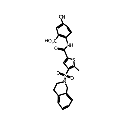 Cc1sc(C(=O)Nc2ccc(C#N)cc2C(=O)O)cc1S(=O)(=O)N1CCc2ccccc2C1